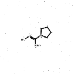 CN/C(=N\C#N)N1CCCC1